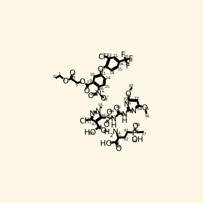 CCOC(=O)COC(=O)c1cc(Oc2ccc(C(F)(F)F)cc2Cl)ccc1[N+](=O)[O-].COc1cc(OC)nc(NC(=O)NS(=O)(=O)c2c(C(=O)O)c(Cl)nn2C)n1.CP(=O)(O)CCC(N)C(=O)O